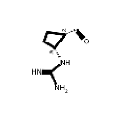 N=C(N)N[C@@H]1CC[C@@H]1C=O